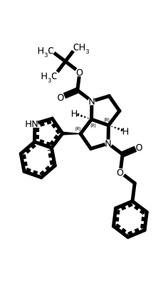 CC(C)(C)OC(=O)N1CC[C@@H]2[C@H]1[C@H](c1c[nH]c3ccccc13)CN2C(=O)OCc1ccccc1